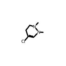 CN1C=C(Cl)CCN1C